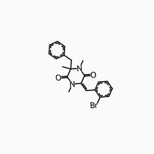 CN1C(=O)C(C)(Cc2ccccc2)N(C)C(=O)/C1=C\c1ccccc1Br